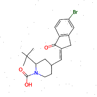 CC(C)(C)C1CC(C=C2Cc3cc(Br)ccc3C2=O)CCN1C(=O)O